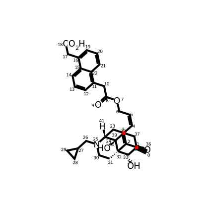 C#CC1=C(/C=C\COC(=O)Cc2cccc3c(CC(=O)O)cccc23)C[C@H]2N(CC3CC3)CC[C@@]13[C@@H](O)C(=O)CC[C@@]23O